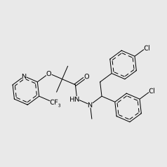 CN(NC(=O)C(C)(C)Oc1ncccc1C(F)(F)F)C(Cc1ccc(Cl)cc1)c1cccc(Cl)c1